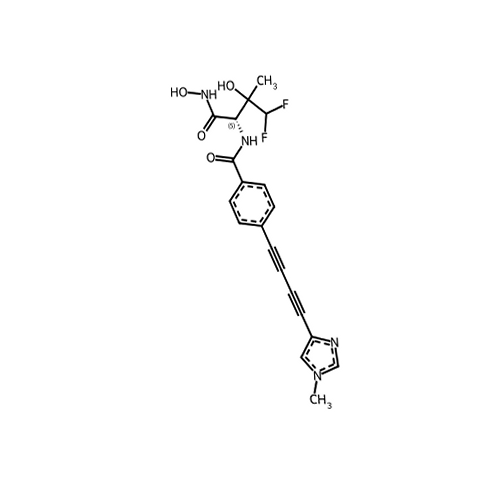 Cn1cnc(C#CC#Cc2ccc(C(=O)N[C@H](C(=O)NO)C(C)(O)C(F)F)cc2)c1